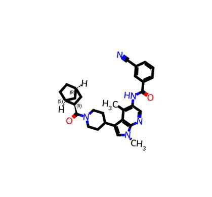 Cc1c(NC(=O)c2cccc(C#N)c2)cnc2c1c(C1CCN(C(=O)[C@@H]3C[C@@H]4CC[C@H]3C4)CC1)cn2C